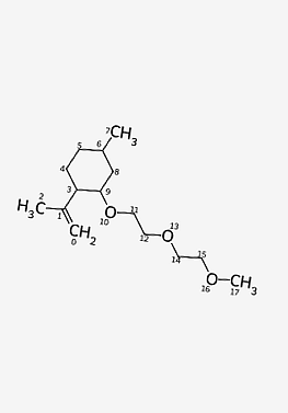 C=C(C)C1CCC(C)CC1OCCOCCOC